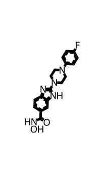 O=C(NO)c1ccc2nc(N3CCN(c4ccc(F)cc4)CC3)[nH]c2c1